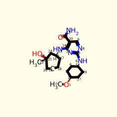 CO[C@H]1CC[C@H](Nc2ncc(C(N)=O)c(N[C@@H]3CCCC[C@](C)(O)C3)n2)CC1